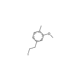 COc1cc(CCI)ccc1C